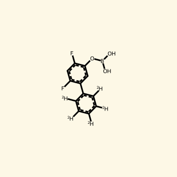 [2H]c1c([2H])c([2H])c(-c2cc(OB(O)O)c(F)cc2F)c([2H])c1[2H]